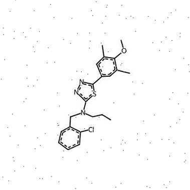 CCCN(Cc1ccccc1Cl)c1nnc(-c2cc(C)c(OC)c(C)c2)s1